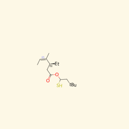 C/C=C(/C)[C@@H](CC)CC(=O)OC(S)CC(C)(C)C